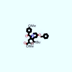 COC(=O)C(Cc1c(C(=O)C(C)(C)C)c2cc(OCc3ccccc3)ccn2c1C(=O)c1ccc(OC)cc1)C(C)C